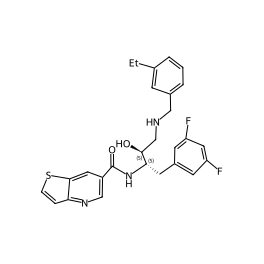 CCc1cccc(CNC[C@H](O)[C@H](Cc2cc(F)cc(F)c2)NC(=O)c2cnc3ccsc3c2)c1